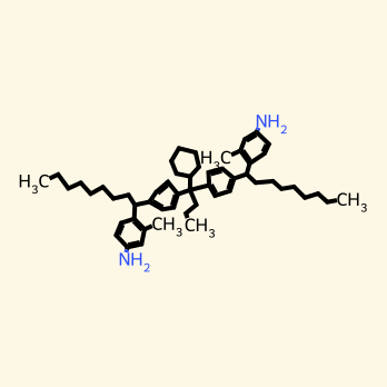 CCCCCCCCC(c1ccc(C(CCC)(c2ccc(C(CCCCCCCC)c3ccc(N)cc3C)cc2)C2CCCCC2)cc1)c1ccc(N)cc1C